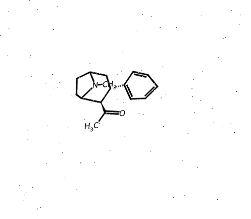 CC(=O)[C@H]1C2CCC(C[C@@H]1c1ccccc1)N2C